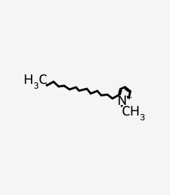 CCCCCCCCCCCCCCc1cccc[n+]1CC